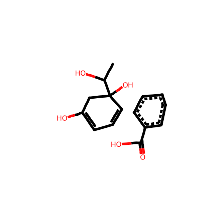 CC(O)C1(O)C=CC=C(O)C1.O=C(O)c1ccccc1